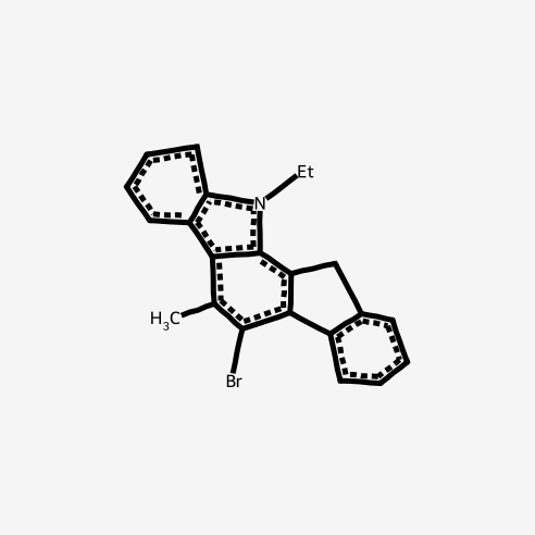 CCn1c2ccccc2c2c(C)c(Br)c3c(c21)Cc1ccccc1-3